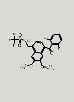 COc1cc2c(CNS(=O)(=O)C(F)(F)F)cnc(C(=O)c3c(F)cccc3F)c2cc1OC